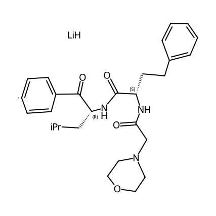 CC(C)C[C@@H](NC(=O)[C@H](CCc1ccccc1)NC(=O)CN1CCOCC1)C(=O)c1cc[c]cc1.[LiH]